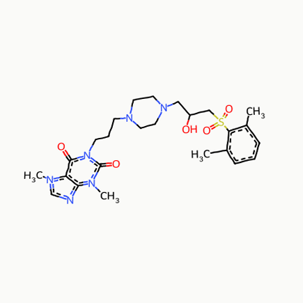 Cc1cccc(C)c1S(=O)(=O)CC(O)CN1CCN(CCCn2c(=O)c3c(ncn3C)n(C)c2=O)CC1